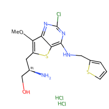 COc1c(C[C@@H](N)CO)sc2c(NCc3cccs3)nc(Cl)nc12.Cl.Cl